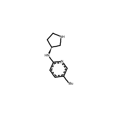 CCC(C)c1ccc(N[C@H]2CCNC2)nc1